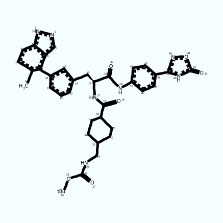 Cc1ccc2[nH]ncc2c1-c1cccc(C[C@H](NC(=O)C2CCC(CNC(=O)OC(C)(C)C)CC2)C(=O)Nc2ccc(-c3noc(=O)[nH]3)cc2)c1